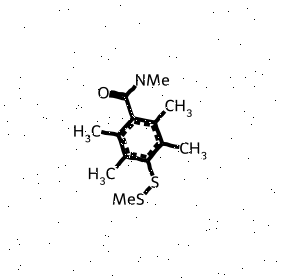 CNC(=O)c1c(C)c(C)c(SSC)c(C)c1C